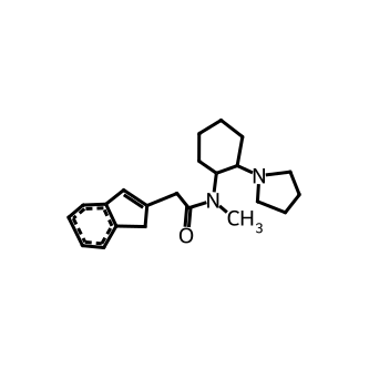 CN(C(=O)CC1=Cc2ccccc2C1)C1CCCCC1N1CCCC1